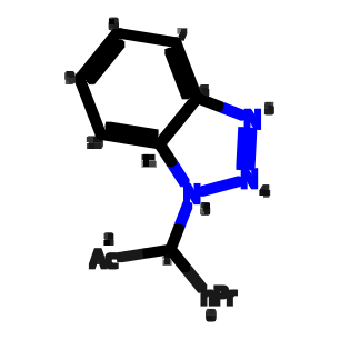 CCCC(C(C)=O)n1nnc2ccccc21